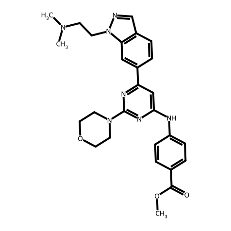 COC(=O)c1ccc(Nc2cc(-c3ccc4cnn(CCN(C)C)c4c3)nc(N3CCOCC3)n2)cc1